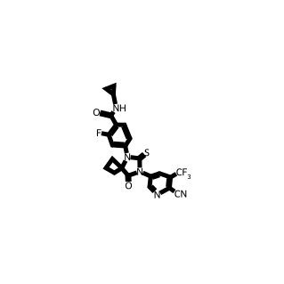 N#Cc1ncc(N2C(=O)C3(CCC3)N(c3ccc(C(=O)NC4CC4)c(F)c3)C2=S)cc1C(F)(F)F